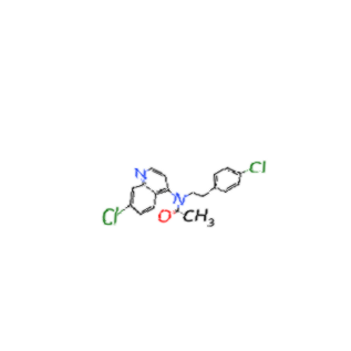 CC(=O)N(CCc1ccc(Cl)cc1)c1ccnc2cc(Cl)ccc12